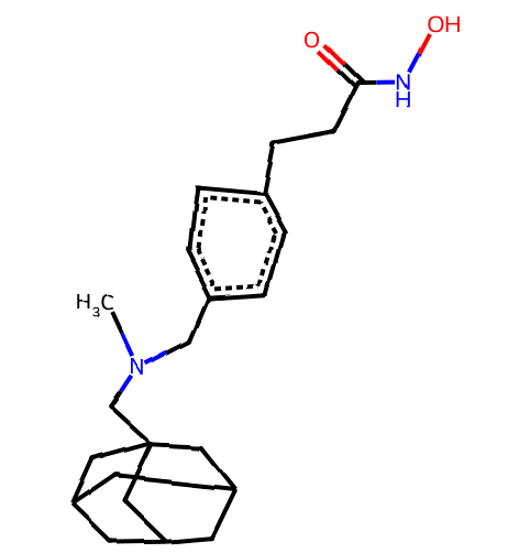 CN(Cc1ccc(CCC(=O)NO)cc1)CC12CC3CC(CC(C3)C1)C2